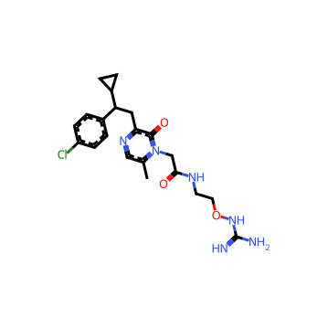 Cc1cnc(CC(c2ccc(Cl)cc2)C2CC2)c(=O)n1CC(=O)NCCONC(=N)N